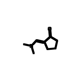 CN(C)/C=C1\CCCC1=O